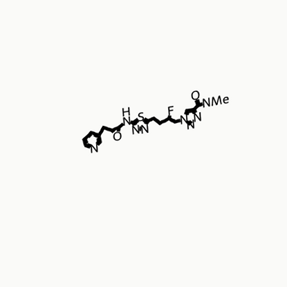 CNC(=O)c1cn(CC(F)CCc2nnc(NC3OC3Cc3cccnc3)s2)nn1